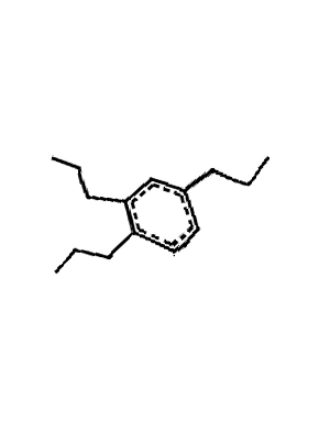 CCCc1c[c]c(CCC)c(CCC)c1